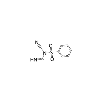 N#CN([C]=N)S(=O)(=O)c1ccccc1